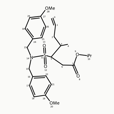 C=CCC(C)C(CC(=O)OC(C)C)S(=O)(=O)N(Cc1ccc(OC)cc1)Cc1ccc(OC)cc1